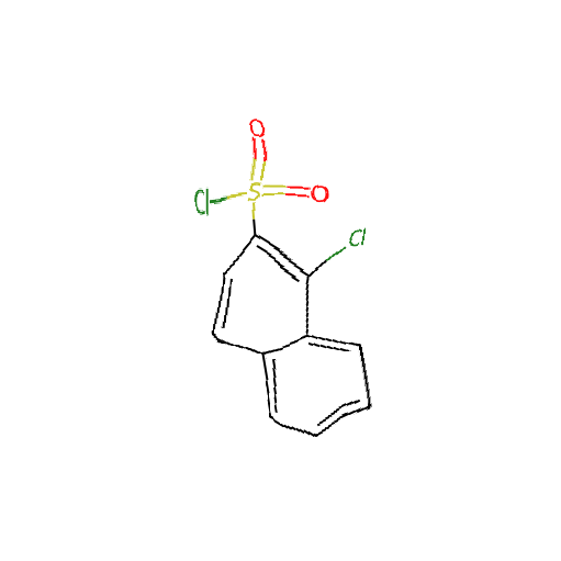 O=S(=O)(Cl)c1ccc2ccccc2c1Cl